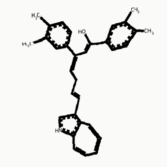 Cc1ccc(/C(O)=C/C(=C\C/C=C/c2c[nH]c3c2C=C=CC=C3)c2ccc(C)c(C)c2)cc1C